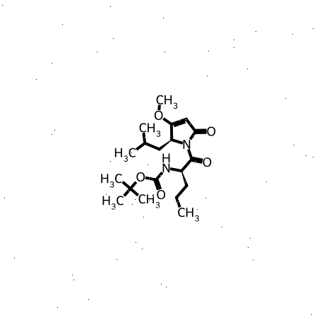 CCC[C@@H](NC(=O)OC(C)(C)C)C(=O)N1C(=O)C=C(OC)[C@@H]1CC(C)C